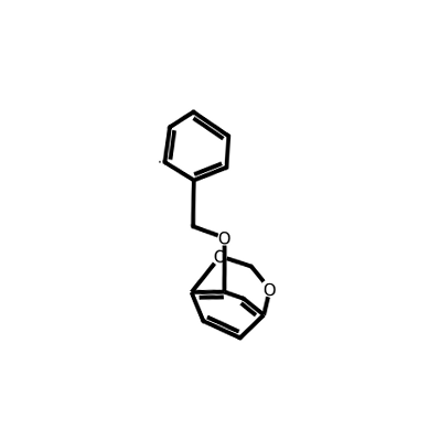 [c]1ccccc1COc1cc2ccc1OCO2